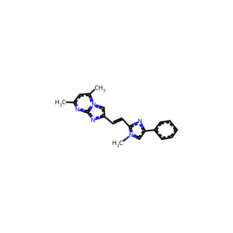 Cc1cc(C)n2cc(/C=C/c3nc(-c4ccccc4)cn3C)nc2n1